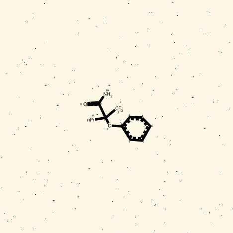 CCCC(Oc1ccccc1)(C(N)=O)C(F)(F)F